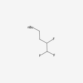 CCCCCCC(F)[C](F)F